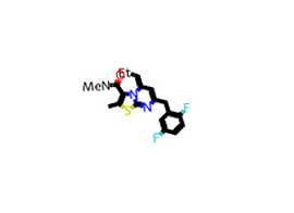 CC/C=C1/C=C(Cc2cc(F)ccc2F)N=C2SC(C)=C(C(=O)NC)N21